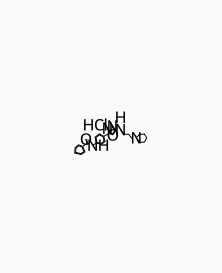 Cl.O=C(Nc1ccc(-c2nnc(NCCCN3CCCCC3)o2)cc1)c1ccccc1